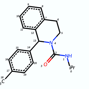 CC(C)NC(=O)N1CCc2ccccc2C1c1ccc(C(F)(F)F)cc1